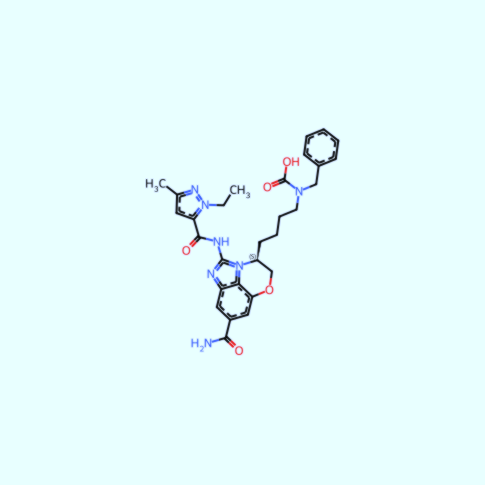 CCn1nc(C)cc1C(=O)Nc1nc2cc(C(N)=O)cc3c2n1[C@@H](CCCCN(Cc1ccccc1)C(=O)O)CO3